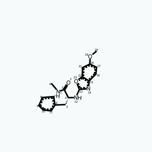 CNC(=O)[C@@H](Cc1ccccc1)Nc1nc2ccc(OC)cc2o1